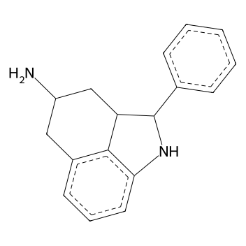 NC1Cc2cccc3c2C(C1)C(c1ccccc1)N3